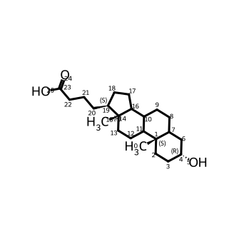 C[C@]12CC[C@@H](O)CC1CCC1C2CC[C@@]2(C)C1CC[C@@H]2CCCC(=O)O